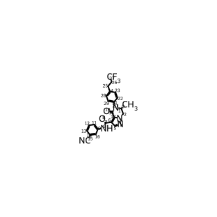 CC1Cn2ncc(C(=O)Nc3cccc(C#N)c3)c2C(=O)N1c1ccc(CCC(F)(F)F)cc1